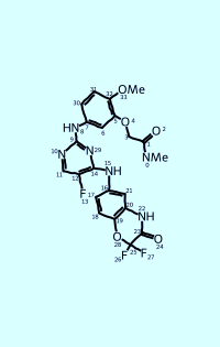 CNC(=O)COc1cc(Nc2ncc(F)c(Nc3ccc4c(c3)NC(=O)C(F)(F)O4)n2)ccc1OC